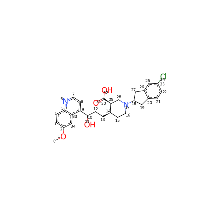 COc1ccc2nccc(C(O)CC[C@@H]3CCN(C4Cc5ccc(Cl)cc5C4)C[C@@H]3C(=O)O)c2c1